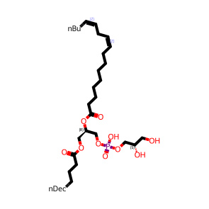 CCCC/C=C\C/C=C\CCCCCCCC(=O)O[C@H](COC(=O)CCCCCCCCCCCCC)COP(=O)(O)OC[C@@H](O)CO